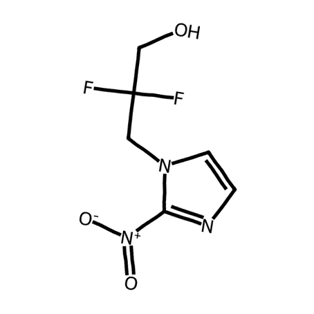 O=[N+]([O-])c1nccn1CC(F)(F)CO